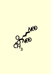 CCOC(=O)[C@H](CCCCN=C=O)N=C=O